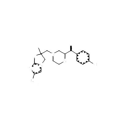 CC1(CN2CCNC(C(=O)c3ccc(Cl)cc3)C2)Cn2cc([N+](=O)[O-])nc2O1